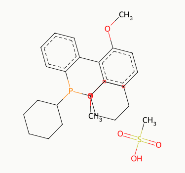 COc1cccc(OC)c1-c1ccccc1P(C1CCCCC1)C1CCCCC1.CS(=O)(=O)O